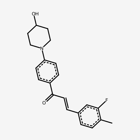 Cc1ccc(C=CC(=O)c2ccc(N3CCC(O)CC3)cc2)cc1F